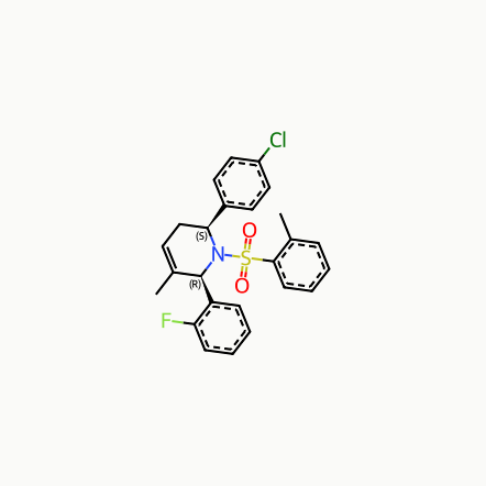 CC1=CC[C@@H](c2ccc(Cl)cc2)N(S(=O)(=O)c2ccccc2C)[C@H]1c1ccccc1F